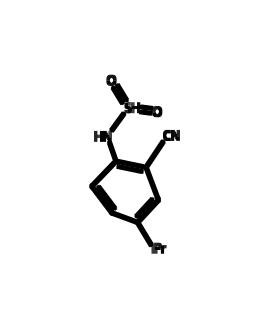 CC(C)c1ccc(N[SH](=O)=O)c(C#N)c1